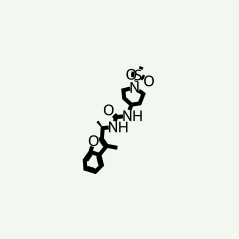 Cc1c([C@@H](C)NC(=O)NC2CCN(S(C)(=O)=O)CC2)oc2ccccc12